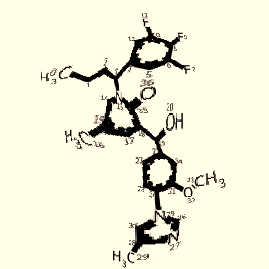 CCCC(c1cc(F)c(F)c(F)c1)n1cc(C)cc(C(O)c2ccc(-n3cnc(C)c3)c(OC)c2)c1=O